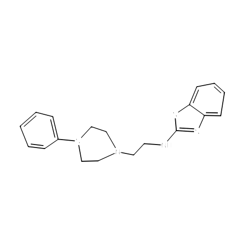 c1ccc(N2CCN(CCNc3nc4ccccc4[nH]3)CC2)cc1